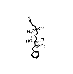 CC(C)(CCC#N)CNC[C@@H](O)[C@@H](N)Cc1ccccc1.Cl